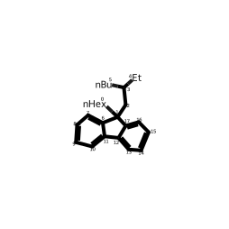 CCCCCCC1(CC(CC)CCCC)c2c[c]ccc2-c2cc[c]cc21